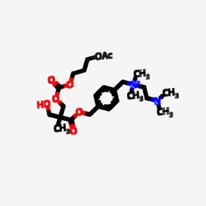 CC(=O)OCCCOC(=O)OCC(C)(CO)C(=O)OCc1ccc(C[N+](C)(C)CCN(C)C)cc1